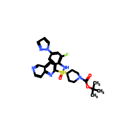 CC(C)(C)OC(=O)N1CCC([SH](=O)(Nc2ccc(-n3cccn3)cc2F)c2ccc3cnccc3n2)CC1